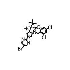 CC(C)(C)OC(=O)N(Cc1ccc(Cl)cc1Cl)C1CN(c2ncc(Br)cn2)CC1O